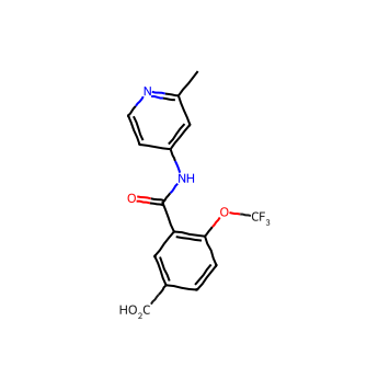 Cc1cc(NC(=O)c2cc(C(=O)O)ccc2OC(F)(F)F)ccn1